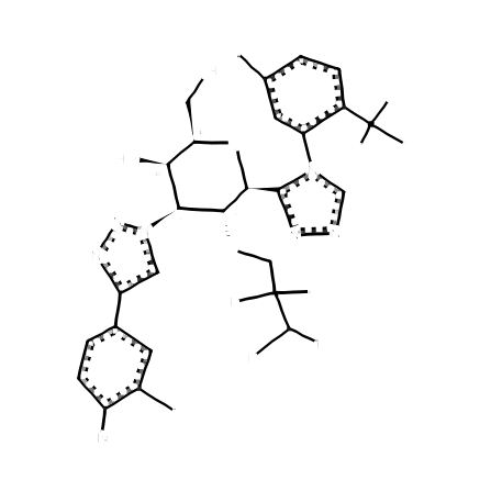 OC[C@H]1O[C@@H](c2nncn2-c2cc(Cl)ccc2C(F)(F)F)[C@H](OCC(F)(F)C(F)F)[C@@H](n2cc(-c3ccc(Br)c(F)c3)nn2)[C@H]1O